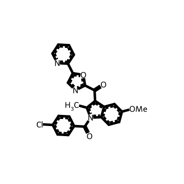 COc1ccc2c(c1)c(C(=O)c1ncc(-c3ccccn3)o1)c(C)n2C(=O)c1ccc(Cl)cc1